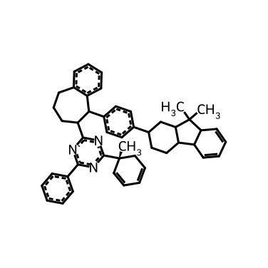 CC1(C)C2C=CC=CC2C2CCC(c3ccc(C4c5ccccc5CCCC4c4nc(-c5ccccc5)nc([C@@]5(C)C=CC=CC5)n4)cc3)CC21